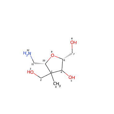 CC1(CO)C(O)[C@@H](CO)O[C@H]1CN